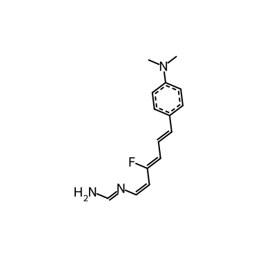 CN(C)c1ccc(/C=C/C=C(F)/C=C\N=C\N)cc1